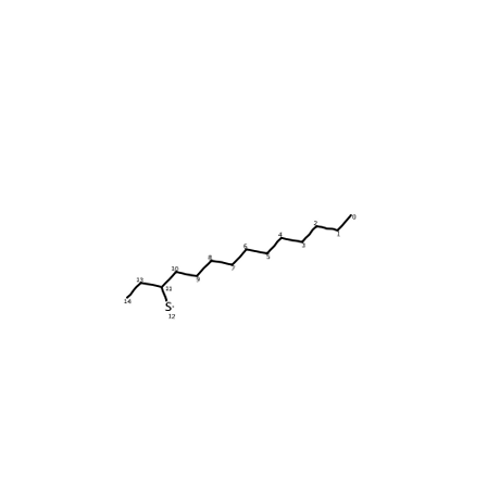 CCCCCCCCCCCC([S])CC